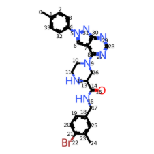 Cc1ccc(-n2cc3c(N4CCNC(C(=O)NCc5ccc(Br)c(C)c5)C4)ncnc3n2)cc1